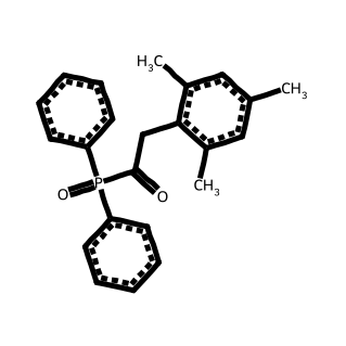 Cc1cc(C)c(CC(=O)P(=O)(c2ccccc2)c2ccccc2)c(C)c1